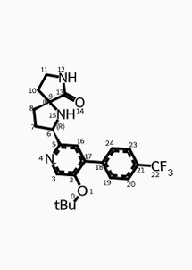 CC(C)(C)Oc1cnc([C@H]2CC[C@]3(CCNC3=O)N2)cc1-c1ccc(C(F)(F)F)cc1